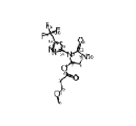 COCCC(=O)OC1CN(C)C(=O)N1c1nnc(C(F)(F)F)s1